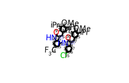 COc1c(C(C)C)cc(/C=C2\C(=O)Nc3cc(C(F)(F)F)ccc32)cc1C(C)C.COc1c(C(C)C)cc(/C=C2\C(=O)Nc3cc(Cl)ccc32)cc1C(C)C